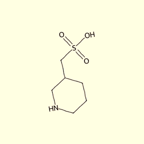 O=S(=O)(O)CC1CCCNC1